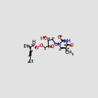 CCC#CC(CC)POOCC1OC(n2cc(C)c(=O)[nH]c2=O)C[C@@H]1O